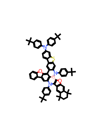 CC(C)(C)c1ccc(N2B3c4oc5cc6c(cc5c4N(c4ccc(C(C)(C)C)cc4)c4cc5c(oc7ccccc75)c(c43)-c3cc4c(cc32)sc2cc(N(c3ccc(C(C)(C)C)cc3)c3ccc(C(C)(C)C)cc3)ccc24)C(C)(C)CCC6(C)C)cc1